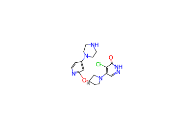 O=c1[nH]ncc(N2CC[C@@H](Oc3cc(N4CCNCC4)ccn3)C2)c1Cl